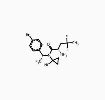 CC(F)(F)C[C@H](N)C(=O)N([C@@H](c1ccc(Br)cc1)C(F)(F)F)C1(C#N)CC1